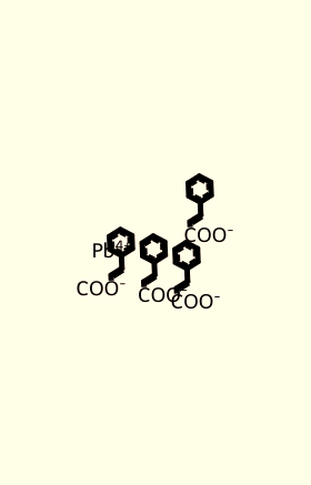 O=C([O-])/C=C/c1ccccc1.O=C([O-])/C=C/c1ccccc1.O=C([O-])/C=C/c1ccccc1.O=C([O-])/C=C/c1ccccc1.[Pb+4]